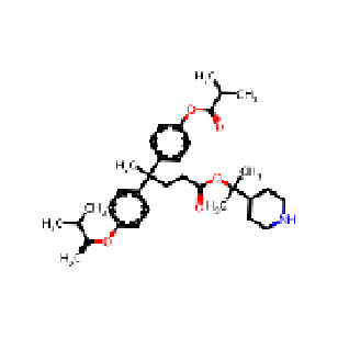 C=C(Oc1ccc(C(C)(CCC(=O)OC(C)(C)C2CCNCC2)c2ccc(OC(=O)C(C)C)cc2)cc1)C(C)C